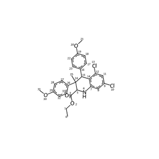 CCOC(=O)C1Nc2cc(Cl)cc(Cl)c2C(c2ccc(OC)cc2)C1(C)c1ccc(OC)cc1